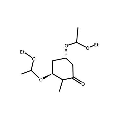 CCOC(C)O[C@@H]1CC(=O)C(C)[C@@H](OC(C)OCC)C1